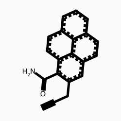 C#CCc1cc2ccc3cccc4ccc(c1C(N)=O)c2c34